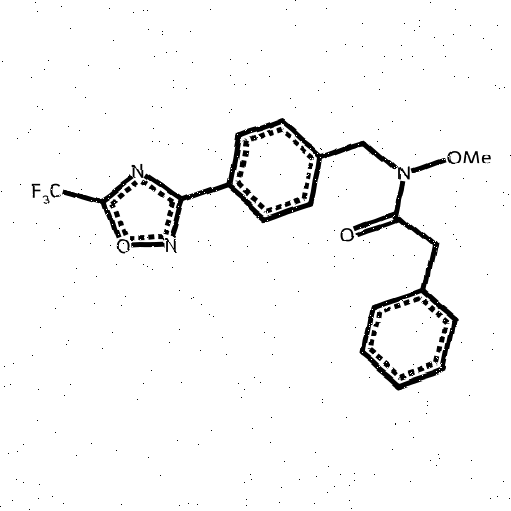 CON(Cc1ccc(-c2noc(C(F)(F)F)n2)cc1)C(=O)Cc1ccccc1